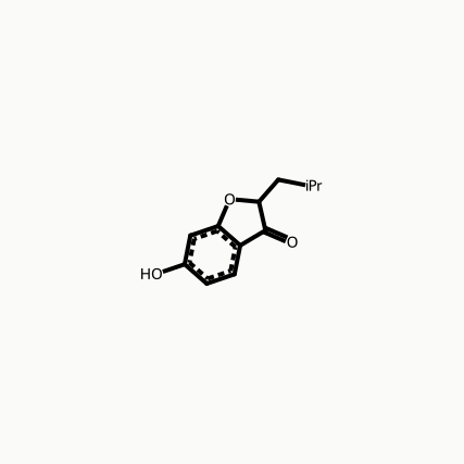 CC(C)CC1Oc2cc(O)ccc2C1=O